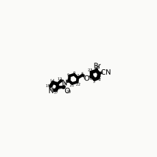 N#Cc1ccc(OCC2CCC(N3Cc4ccncc4C3=O)CC2)cc1Br